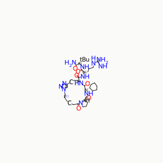 CC(C)(C)[C@H](NC(=O)[C@H](CCCNC(=N)N)NC(=O)[C@@H]1CCc2cn(nn2)/C=C/CCCC(=O)N2CCC[C@H]2C(=O)N[C@@H](C2CCCCC2)C(=O)N1)C(N)=O